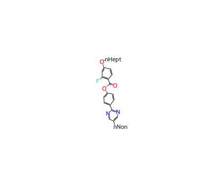 CCCCCCCCCc1cnc(-c2ccc(OC(=O)c3ccc(OCCCCCCC)cc3F)cc2)nc1